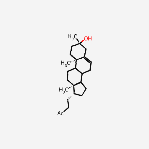 CC(=O)CC[C@H]1CCC2C3CC=C4C[C@@](C)(O)CC[C@]4(C)C3CC[C@@]21C